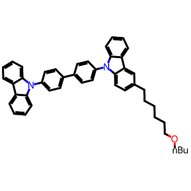 CCCCOCCCCCCc1ccc2c(c1)c1ccccc1n2-c1ccc(-c2ccc(-n3c4ccccc4c4ccccc43)cc2)cc1